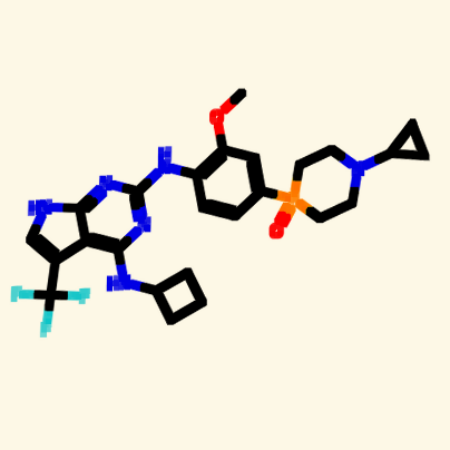 COc1cc(P2(=O)CCN(C3CC3)CC2)ccc1Nc1nc(NC2CCC2)c2c(C(F)(F)F)c[nH]c2n1